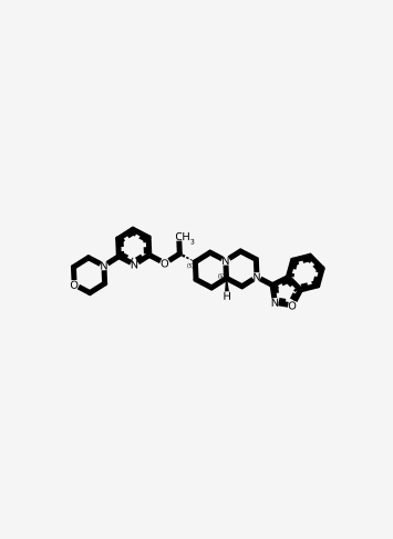 CC(Oc1cccc(N2CCOCC2)n1)[C@H]1CC[C@H]2CN(c3noc4ccccc34)CCN2C1